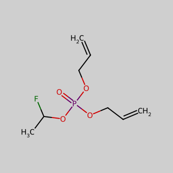 C=CCOP(=O)(OCC=C)OC(C)F